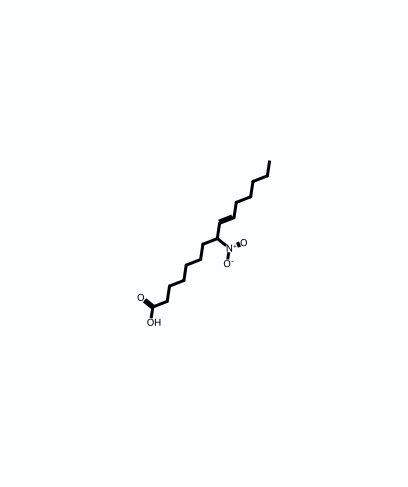 CCCCC/C=C/C(CCCCCCC(=O)O)[N+](=O)[O-]